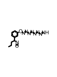 CCCC(N=O)c1cccc(ON=NN=NN=NN=N)c1